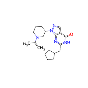 C=C(C)N1CCCC(n2ncc3c(=O)[nH]c(CC4CCCC4)nc32)C1